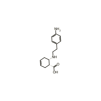 Nc1ccc(CCN[C@H]2CC=CC[C@H]2C(=O)O)cc1